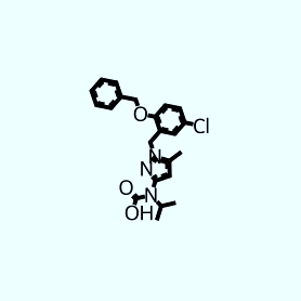 Cc1cc(N(C(=O)O)C(C)C)nn1Cc1cc(Cl)ccc1OCc1ccccc1